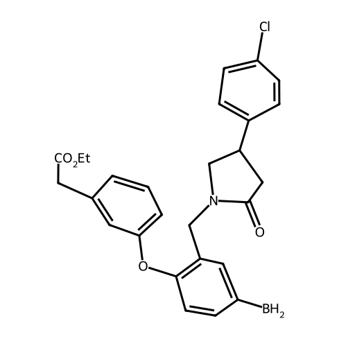 Bc1ccc(Oc2cccc(CC(=O)OCC)c2)c(CN2CC(c3ccc(Cl)cc3)CC2=O)c1